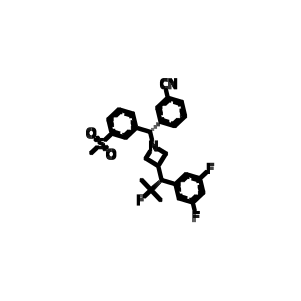 CC(C)(F)[C@H](c1cc(F)cc(F)c1)C1CN([C@@H](c2cccc(C#N)c2)c2cccc(S(C)(=O)=O)c2)C1